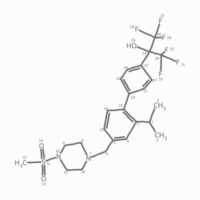 CC(C)c1cc(CN2CCN(S(C)(=O)=O)CC2)ccc1-c1ccc(C(O)(C(F)(F)F)C(F)(F)F)cc1